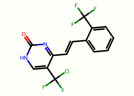 O=c1nc(C=Cc2ccccc2C(F)(F)F)c(C(F)(F)Cl)c[nH]1